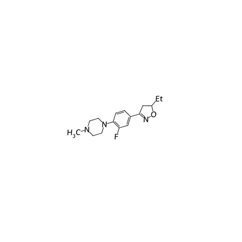 CCC1CC(c2ccc(N3CCN(C)CC3)c(F)c2)=NO1